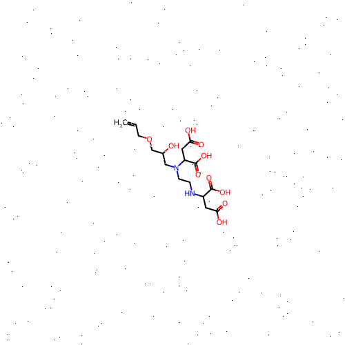 C=CCOCC(O)CN(CCNC(CC(=O)O)C(=O)O)C(CC(=O)O)C(=O)O